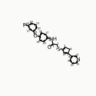 O=C(CSC1=CCC(c2cccnc2)=C1)Nc1ccc(Oc2cccc(F)c2)cc1